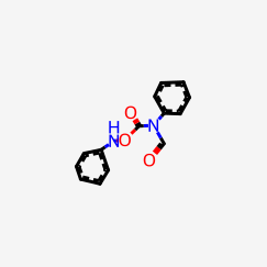 O=CN(C(=O)ONc1ccccc1)c1ccccc1